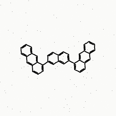 c1ccc2cc3c(-c4ccc5ccc(-c6cccc7cc8ccccc8cc67)cc5c4)cccc3cc2c1